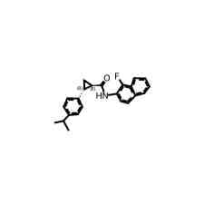 CC(C)c1ccc([C@@H]2C[C@H]2C(=O)Nc2ccc3ccccc3c2F)cc1